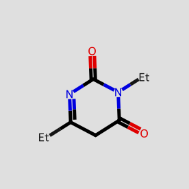 CCC1=NC(=O)N(CC)C(=O)C1